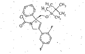 CC(C)(C)[Si](C)(C)OC[C@@]1(c2ccccc2)C=C(c2cc(F)ccc2F)CN1C(=O)Cl